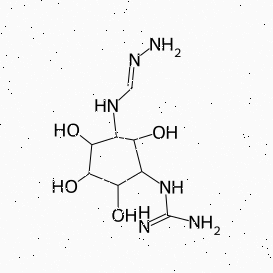 N=C(N)NC1C(O)C(O)C(O)C(NC=NN)C1O